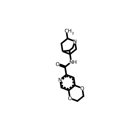 CC1CC2CCN1CC2NC(=O)c1cc2c(cn1)OCCO2